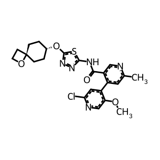 COc1cnc(Cl)cc1-c1cc(C)ncc1C(=O)Nc1nnc(O[C@H]2CC[C@@]3(CCO3)CC2)s1